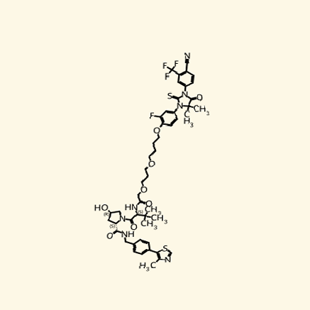 Cc1ncsc1-c1ccc(CNC(=O)[C@@H]2C[C@@H](O)CN2C(=O)[C@@H](NC(=O)COCCCOCCCCOc2ccc(N3C(=S)N(c4ccc(C#N)c(C(F)(F)F)c4)C(=O)C3(C)C)cc2F)C(C)(C)C)cc1